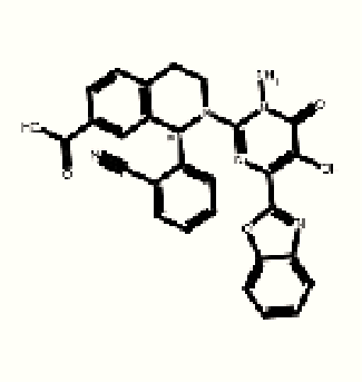 Cn1c(N2CCc3ccc(C(=O)O)cc3[C@@H]2c2ccccc2C#N)nc(-c2nc3ccccc3o2)c(O)c1=O